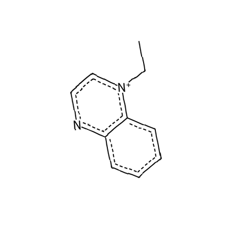 CC[n+]1ccnc2ccccc21